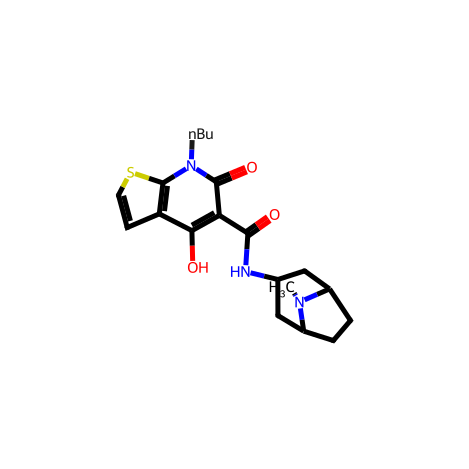 CCCCn1c(=O)c(C(=O)NC2CC3CCC(C2)N3C)c(O)c2ccsc21